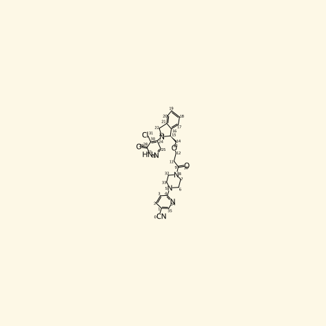 N#Cc1ccc(N2CCN(C(=O)CCOC[C@@H]3c4ccccc4CN3c3cn[nH]c(=O)c3Cl)CC2)nc1